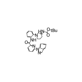 CC(C)(C)OC(=O)N[C@@H]1CCCN(c2ccccc2NC(=O)c2cccc(-n3ncc4ccccc43)n2)C1